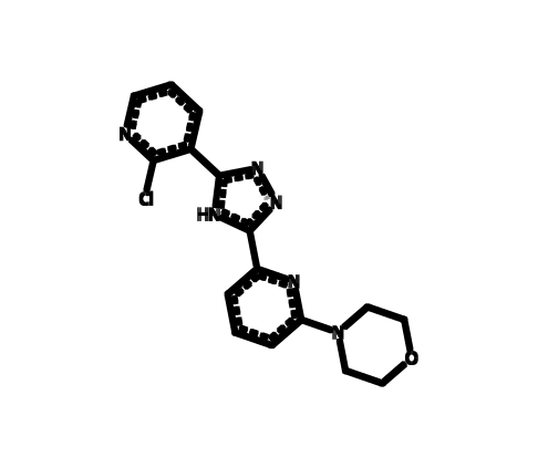 Clc1ncccc1-c1nnc(-c2cccc(N3CCOCC3)n2)[nH]1